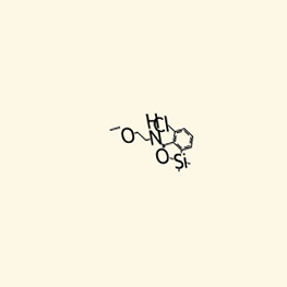 CCOCCNC(=O)c1c(Cl)cccc1[Si](C)(C)C